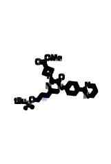 COC(=O)C1CN(c2nc(/C=C/CO[Si](C)(C)C(C)(C)C)cn(-c3ccc(-c4ncccn4)cc3)c2=O)C1